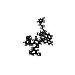 N#Cc1cncc(COc2cc(OCc3cccc(-c4cccc(NCCCCN5CCCC5)c4C=N)c3Br)c(Cl)cc2CN2CCC(O)C2)c1